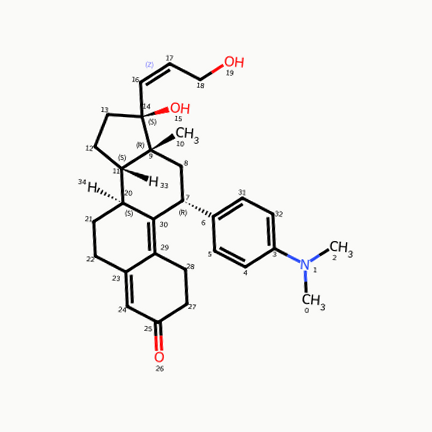 CN(C)c1ccc([C@H]2C[C@]3(C)[C@@H](CC[C@]3(O)/C=C\CO)[C@@H]3CCC4=CC(=O)CCC4=C32)cc1